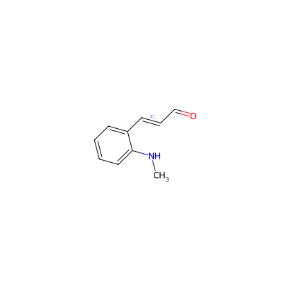 CNc1ccccc1/C=C/C=O